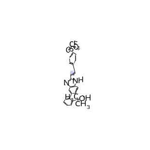 CC(C)(O)c1ccccc1-c1ccc2[nH]c(/C=C/c3ccc(S(=O)(=O)C(F)(F)F)cc3)nc2c1